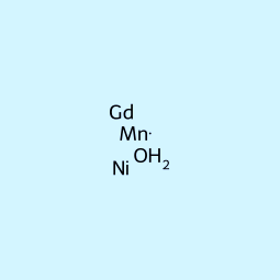 O.[Gd].[Mn].[Ni]